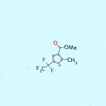 COC(=O)c1cc(C(F)(F)C(F)(F)F)sc1C